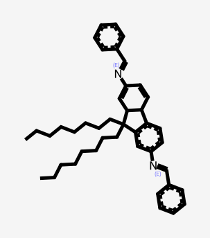 CCCCCCCCC1(CCCCCCCC)c2cc(/N=C/c3ccccc3)ccc2C2C=CC(/N=C/c3ccccc3)=CC21